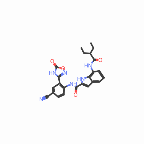 CCC(CC)C(=O)Nc1cccc2cc(C(=O)Nc3ccc(C#N)cc3-c3noc(=O)[nH]3)[nH]c12